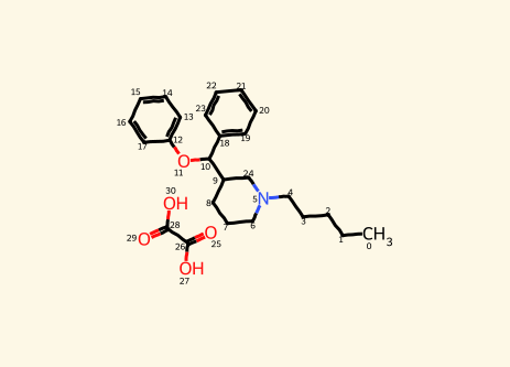 CCCCCN1CCCC(C(Oc2ccccc2)c2ccccc2)C1.O=C(O)C(=O)O